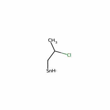 CC(Cl)[CH2][SnH]